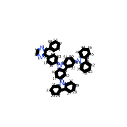 c1ccc(-c2nccnc2-c2ccc(-n3c4ccc(-n5c6ccccc6c6ccccc65)cc4c4cc(-n5c6ccccc6c6ccccc65)ccc43)cc2)cc1